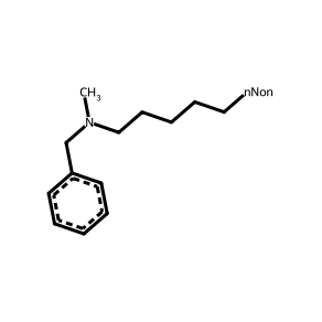 CCCCCCCCCCCCCCN(C)Cc1ccccc1